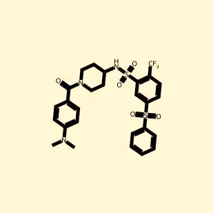 CN(C)c1ccc(C(=O)N2CCC(NS(=O)(=O)c3cc(S(=O)(=O)c4ccccc4)ccc3C(F)(F)F)CC2)cc1